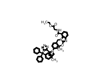 CCOC(=O)CNC(=O)c1cccc2nc(OCC)n(Cc3ccc(-n4cc(C)cc4-c4nnnn4C(c4ccccc4)(c4ccccc4)c4ccccc4)cc3)c12